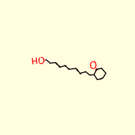 O=C1CCCCC1CCCCCCCCCCO